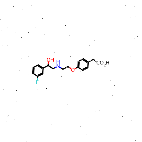 O=C(O)Cc1ccc(OCCNCC(O)c2cccc(F)c2)cc1